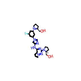 OC[C@@H]1CCCN1c1cc(F)cc(-n2cnc(Nc3nc(N4CCC[C@H]4CO)nn4cccc34)c2)c1